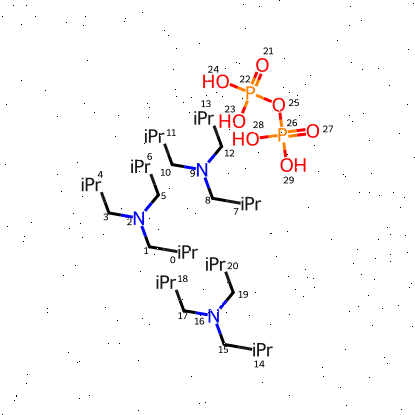 CC(C)CN(CC(C)C)CC(C)C.CC(C)CN(CC(C)C)CC(C)C.CC(C)CN(CC(C)C)CC(C)C.O=P(O)(O)OP(=O)(O)O